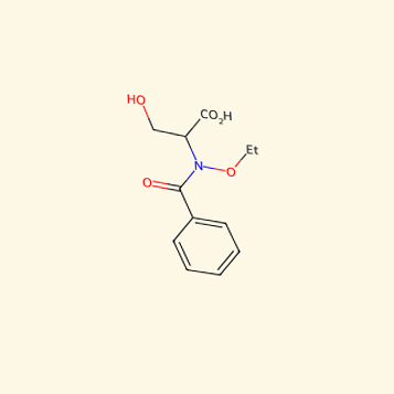 CCON(C(=O)c1ccccc1)C(CO)C(=O)O